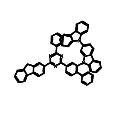 c1ccc(-c2nc(-c3ccc4c(c3)Cc3ccccc3-4)nc(-c3ccc(-c4ccccc4)c(-n4c5ccccc5c5ccc(-n6c7ccccc7c7ccccc76)cc54)c3)n2)cc1